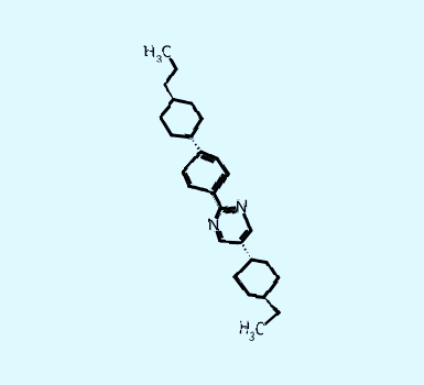 CCC[C@H]1CC[C@H](c2ccc(-c3ncc([C@H]4CC[C@H](CC)CC4)cn3)cc2)CC1